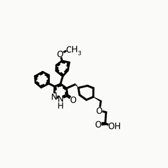 COc1ccc(-c2c(-c3ccccc3)n[nH]c(=O)c2C[C@H]2CC[C@H](COCC(=O)O)CC2)cc1